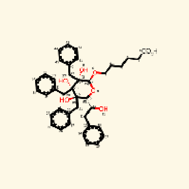 O=C(O)CCCCCO[C@H]1O[C@H](C(O)Cc2ccccc2)[C@](O)(Cc2ccccc2)[C@@](O)(Cc2ccccc2)[C@@]1(O)Cc1ccccc1